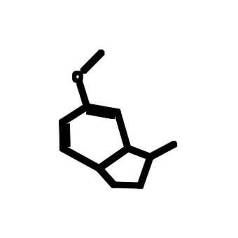 COC1=CC2C(C)CCC2C=C1